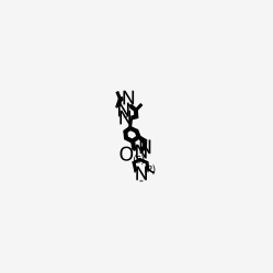 Cc1cn2nc(-c3ccc4c(=O)n([C@H]5CCN(C)[C@H](C)C5)ncc4c3)cc(C)c2n1